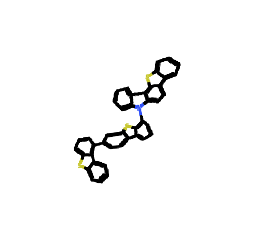 c1ccc2c(c1)sc1c2ccc2c1c1ccccc1n2-c1cccc2c1sc1cc(-c3cccc4sc5ccccc5c34)ccc12